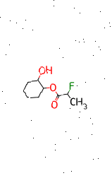 CC(F)C(=O)OC1CCCCC1O